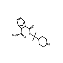 COC(=O)C1C2C=CC(C2)C1C(=O)OC(C)(C)C1CCNCC1